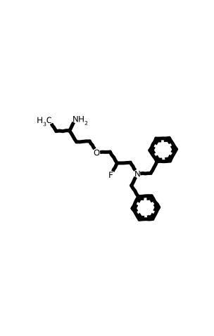 CCC(N)CCOCC(F)CN(Cc1ccccc1)Cc1ccccc1